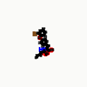 CCCCC(=O)NC(=Cc1ccc(Oc2ccccc2Br)cc1)C(=O)O